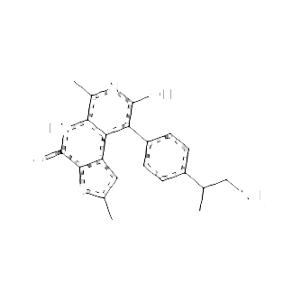 Cc1cc2c(s1)c(=O)[nH]c1c(C)nc(O)c(-c3ccc(C(C)CN)cc3)c12